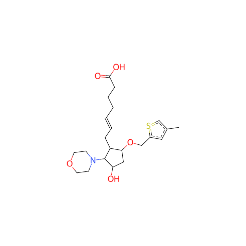 Cc1csc(COC2CC(O)C(N3CCOCC3)C2CC=CCCCC(=O)O)c1